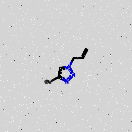 C=CCn1cc(C(C)(C)C)nn1